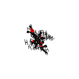 CC(C)(C)c1ccc(Oc2cc3c4c(cc(Oc5ccc(C(C)(C)C)cc5)c5c6c(Oc7ccc(C(C)(C)C)cc7)cc7c8c(cc(Oc9ccc(C(C)(C)C)cc9)c(c2c45)c86)C(=O)N(C(Cc2ccncc2)C(=O)N(CCC2CCCC2)C2CCCC(NCC4CO4)C2)C7=O)C(=O)N(C(Cc2ccncc2)C(=O)N(CCC2CCCC2)C2CCCC(NCC4CO4)C2)C3=O)cc1